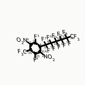 O=[N+]([O-])c1c(F)c(C(F)(F)C(F)(F)C(F)(F)C(F)(F)C(F)(F)C(F)(F)F)c([N+](=O)[O-])c(F)c1C(F)(F)F